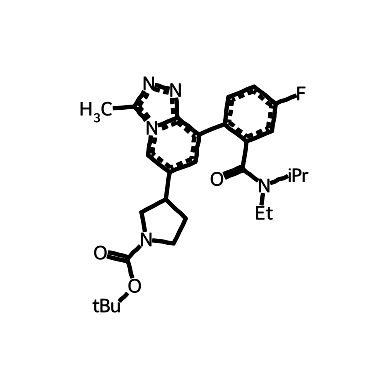 CCN(C(=O)c1cc(F)ccc1-c1cc(C2CCN(C(=O)OC(C)(C)C)C2)cn2c(C)nnc12)C(C)C